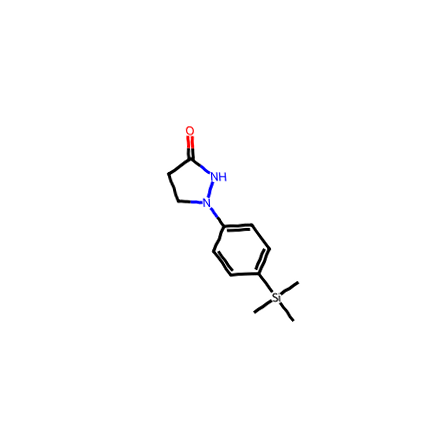 C[Si](C)(C)c1ccc(N2CCC(=O)N2)cc1